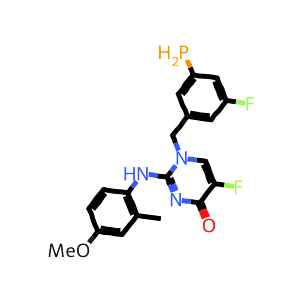 COc1ccc(Nc2nc(=O)c(F)cn2Cc2cc(F)cc(P)c2)c(C)c1